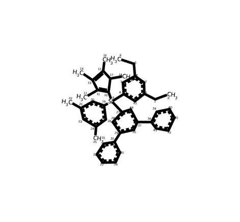 CCc1cc(CC)cc([Si](C2=C(C)C(C)=C(C)C2C)(c2cc(C)cc(C)c2)c2cc(-c3ccccc3)cc(-c3ccccc3)c2)c1